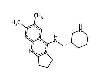 Cc1cc2nc3c(c(NC[C@H]4CCCNC4)c2cc1C)CCC3